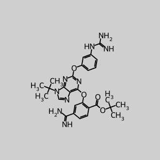 CC(C)(C)OC(=O)c1ccc(C(=N)N)cc1Oc1nc(Oc2cccc(NC(=N)N)c2)nc2c1ncn2C(C)(C)C